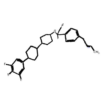 C/C=C/Cc1ccc(C(F)(F)OC2CCC(C3CCC(c4cc(F)c(F)c(F)c4)CC3)CC2)cc1